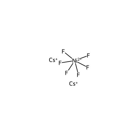 [Cs+].[Cs+].[F][Ni-2]([F])([F])([F])([F])[F]